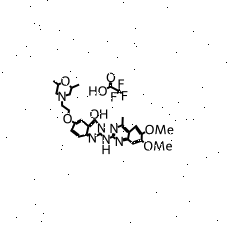 COc1cc2nc(Nc3nc(O)c4cc(OCCN5CC(C)OC(C)C5)ccc4n3)nc(C)c2cc1OC.O=C(O)C(F)(F)F